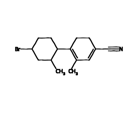 CC1=C(C2CCC(Br)CC2C)CCC(C#N)=C1